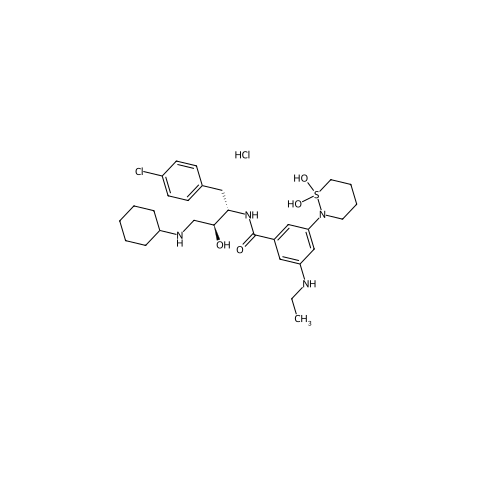 CCNc1cc(C(=O)N[C@@H](Cc2ccc(Cl)cc2)[C@@H](O)CNC2CCCCC2)cc(N2CCCCS2(O)O)c1.Cl